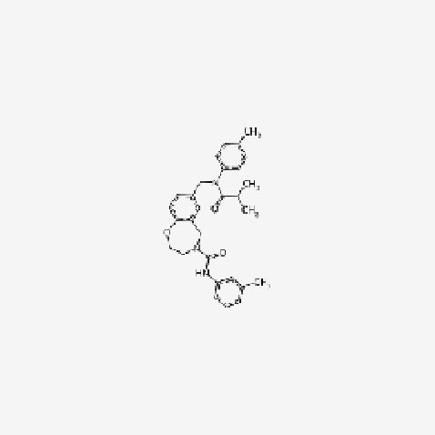 Cc1ccc(N(Cc2ccc3c(c2)CN(C(=O)Nc2cccc(C)c2)CCO3)C(=O)C(C)C)cc1